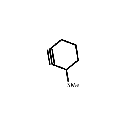 CSC1C#CCCC1